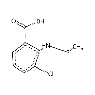 CSNc1c(Cl)cccc1C(=O)O